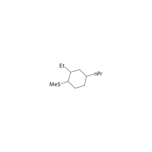 CCCC1CCC(SC)C(CC)C1